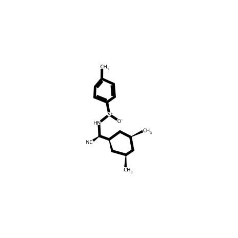 Cc1ccc([S+]([O-])N[C@H](C#N)[C@@H]2C[C@H](C)C[C@H](C)C2)cc1